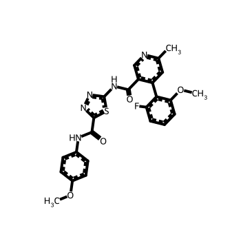 COc1ccc(NC(=O)c2nnc(NC(=O)c3cnc(C)cc3-c3c(F)cccc3OC)s2)cc1